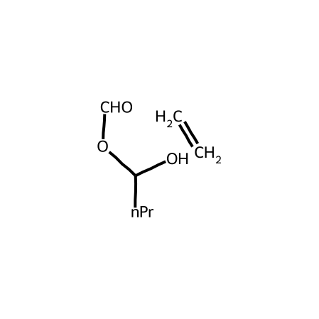 C=C.CCCC(O)OC=O